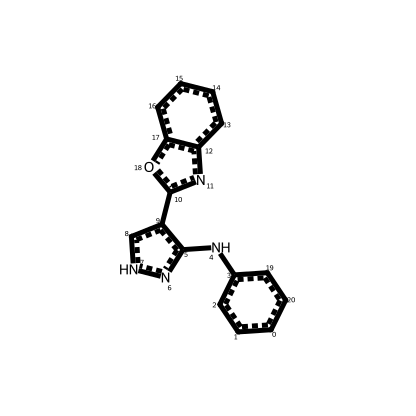 c1ccc(Nc2n[nH]cc2-c2nc3ccccc3o2)cc1